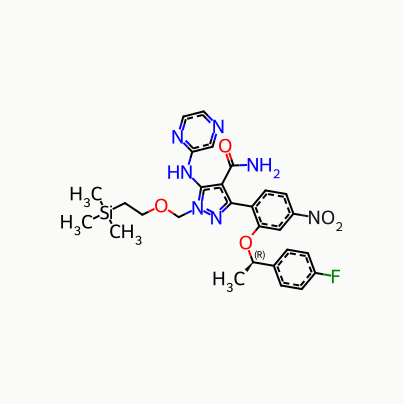 C[C@@H](Oc1cc([N+](=O)[O-])ccc1-c1nn(COCC[Si](C)(C)C)c(Nc2cnccn2)c1C(N)=O)c1ccc(F)cc1